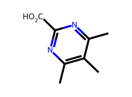 Cc1nc(C(=O)O)nc(C)c1C